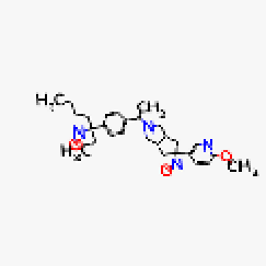 C=C(c1ccc(C(CC)(CCCC)N=O)cc1)N1CC2CC(N=O)(c3ccc(OC)nc3)CC2C1